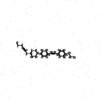 CCCC#CCC1CCC(c2ccc(C#Cc3ccc(CCC)cc3)cc2)CC1